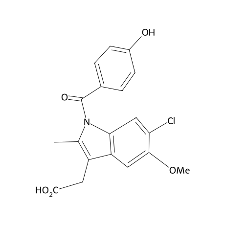 COc1cc2c(CC(=O)O)c(C)n(C(=O)c3ccc(O)cc3)c2cc1Cl